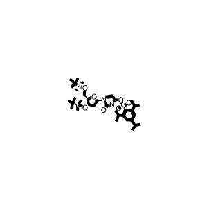 CC(C)c1cc(C(C)C)c(S(=O)(=O)Oc2ccn([C@H]3CC(O[Si](C)(C)C(C)(C)C)[C@@H](CO[Si](C)(C)C(C)(C)C)O3)c(=O)n2)c(C(C)C)c1